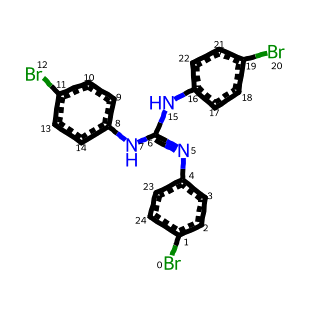 Brc1ccc(N=C(Nc2ccc(Br)cc2)Nc2ccc(Br)cc2)cc1